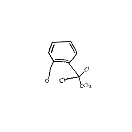 Clc1[c]cccc1C(Cl)(Cl)C(Cl)(Cl)Cl